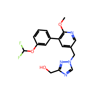 COc1ncc(Cn2cnc(CO)n2)cc1-c1cccc(OC(F)F)c1